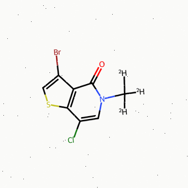 [2H]C([2H])([2H])n1cc(Cl)c2scc(Br)c2c1=O